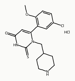 COc1ccc(Cl)cc1-c1cc(=O)[nH]c(=S)n1CC1CCNCC1.Cl